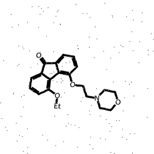 CCOc1cccc2c1-c1c(OCCN3CCOCC3)cccc1C2=O